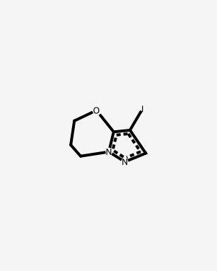 Ic1cnn2c1OCCC2